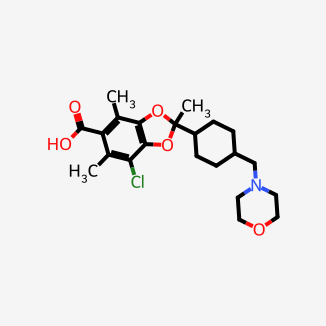 Cc1c(Cl)c2c(c(C)c1C(=O)O)OC(C)(C1CCC(CN3CCOCC3)CC1)O2